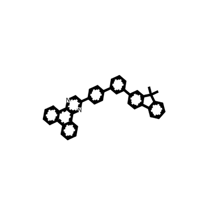 CC1(C)c2ccccc2-c2ccc(-c3cccc(-c4ccc(-c5cnc6c7ccccc7c7ccccc7c6n5)cc4)c3)cc21